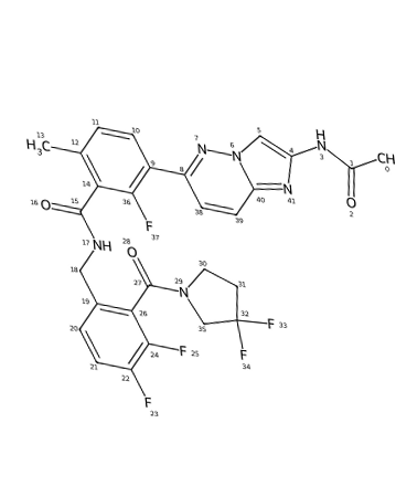 CC(=O)Nc1cn2nc(-c3ccc(C)c(C(=O)NCc4ccc(F)c(F)c4C(=O)N4CCC(F)(F)C4)c3F)ccc2n1